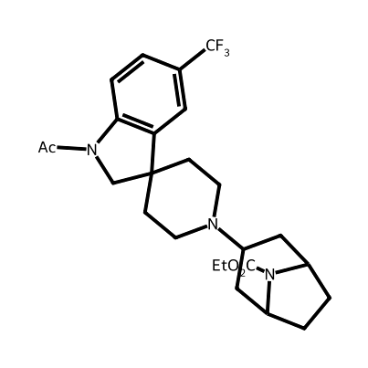 CCOC(=O)N1C2CCC1CC(N1CCC3(CC1)CN(C(C)=O)c1ccc(C(F)(F)F)cc13)C2